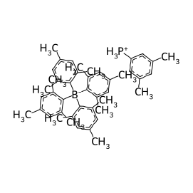 Cc1cc(C)c([B-](c2c(C)cc(C)cc2C)(c2c(C)cc(C)cc2C)c2c(C)cc(C)cc2C)c(C)c1.Cc1cc(C)cc([PH3+])c1